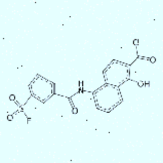 O=C(Nc1cccc2c(O)c(C(=O)Cl)ccc12)c1cccc(S(=O)(=O)F)c1